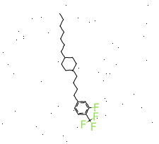 CCCCCCCC1CCC(CCCCc2ccc(C(F)(F)F)c(F)c2)CC1